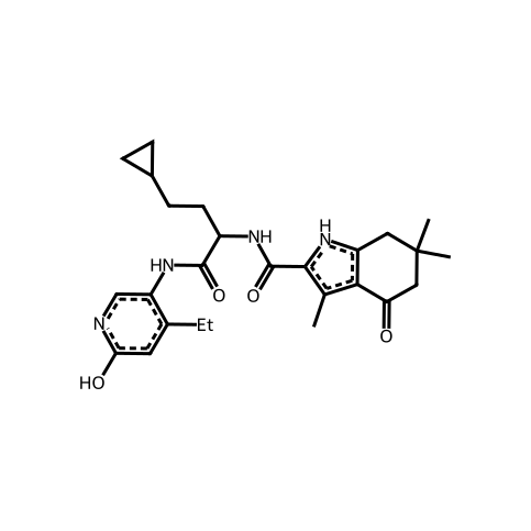 CCc1cc(O)ncc1NC(=O)C(CCC1CC1)NC(=O)c1[nH]c2c(c1C)C(=O)CC(C)(C)C2